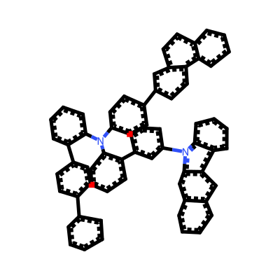 c1ccc(-c2ccc(-c3ccccc3N(c3ccc(-c4ccc5c(ccc6ccccc65)c4)cc3)c3ccccc3-c3cccc(-n4c5ccccc5c5cc6ccccc6cc54)c3)cc2)cc1